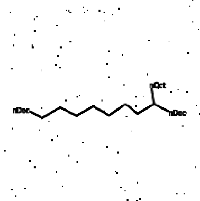 CCCCCCCCC[CH]C(CCCCCCCC)CCCCCCCCCCCCCCCCC